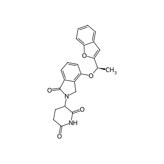 C[C@@H](Oc1cccc2c1CN(C1CCC(=O)NC1=O)C2=O)c1cc2ccccc2o1